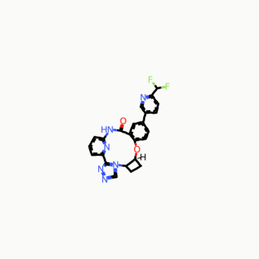 O=C1Nc2cccc(n2)-c2nncn2C2CC[C@@H]2Oc2ccc(-c3ccc(C(F)F)nc3)cc21